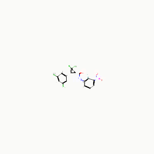 O=C(Nc1cccc([N+](=O)[O-])c1F)[C@H]1[C@H](c2cc(Cl)cc(Cl)c2)C1(Cl)Cl